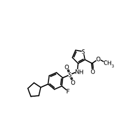 COC(=O)c1sccc1NS(=O)(=O)c1ccc(C2CCCC2)cc1F